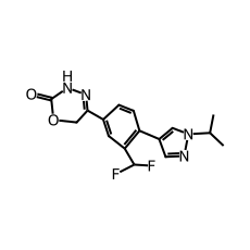 CC(C)n1cc(-c2ccc(C3=NNC(=O)OC3)cc2C(F)F)cn1